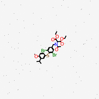 CCOC(=O)C(C(=O)OCC)N(Cc1cc(Br)c(Sc2ccc(OC)c(C(C)C)c2)c(Br)c1)C(C)=O